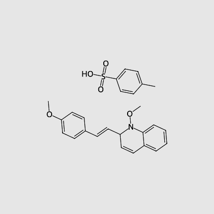 COc1ccc(/C=C/C2C=Cc3ccccc3N2OC)cc1.Cc1ccc(S(=O)(=O)O)cc1